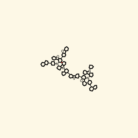 c1ccc(-n2c3ccccc3c3c(N(c4ccc(-c5cccc6ccccc56)cc4)c4ccc(-c5ccc6c(c5)sc5ccc(-c7ccc(-n8c9ccccc9c9c(N(c%10ccc(-c%11ccc%12ccccc%12c%11)cc%10)c%10ccc(-c%11ccc%12c(c%11)oc%11ccccc%11%12)c%11oc%12ccccc%12c%10%11)cccc98)c8ccccc78)cc56)c5oc6ccccc6c45)cccc32)cc1